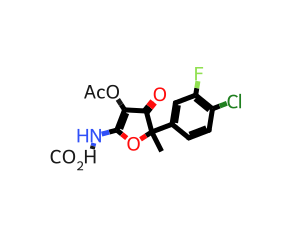 CC(=O)OC1=C(NC(=O)O)OC(C)(c2ccc(Cl)c(F)c2)C1=O